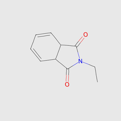 CCN1C(=O)C2C=CC=CC2C1=O